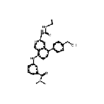 CCNC(=O)Nc1cc2c(-c3ccc(CO)cc3)ccc(Nc3cccc(C(=O)N(C)C)c3)c2cn1